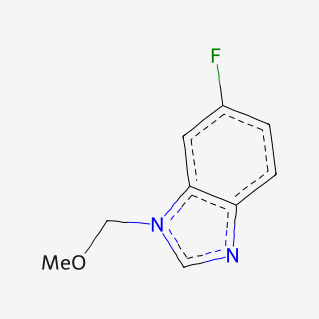 COCn1cnc2ccc(F)cc21